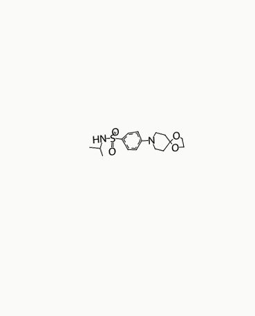 CC(C)NS(=O)(=O)c1ccc(N2CCC3(CC2)OCCO3)cc1